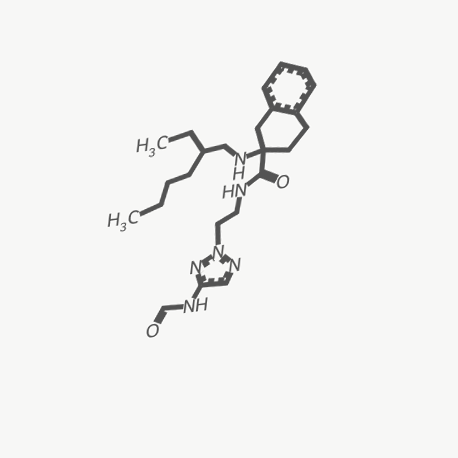 CCCCC(CC)CNC1(C(=O)NCCn2ncc(NC=O)n2)CCc2ccccc2C1